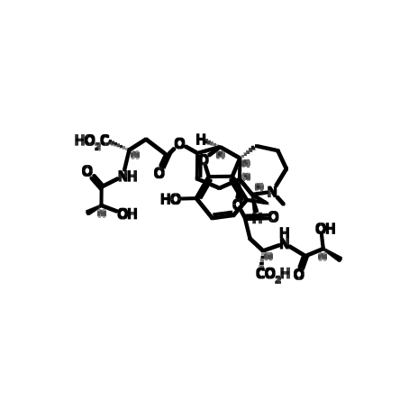 C[C@H](O)C(=O)N[C@@H](CC(=O)OC1=CC[C@@]2(OC(=O)C[C@H](NC(=O)[C@H](C)O)C(=O)O)[C@H]3Cc4ccc(O)c5c4[C@@]2(CCCN3C)[C@H]1O5)C(=O)O